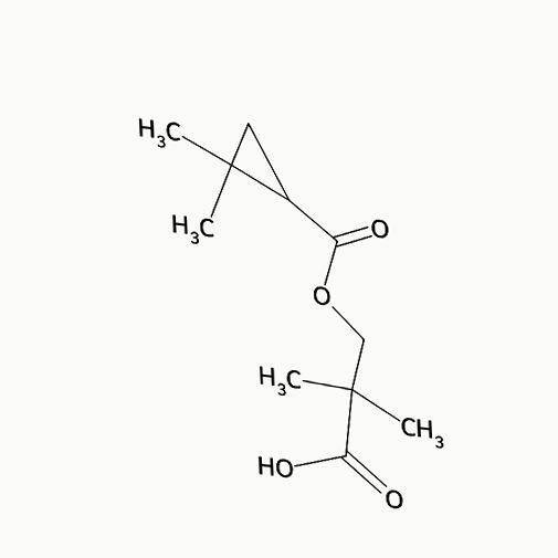 CC(C)(COC(=O)C1CC1(C)C)C(=O)O